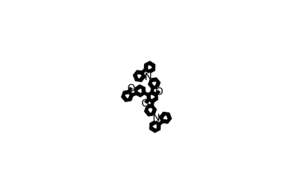 c1ccc2c(c1)oc1ccc(-c3c4oc5ccc(-n6c7ccccc7c7ccccc76)cc5c4cc4oc5ccc(-n6c7ccccc7c7ccccc76)cc5c34)cc12